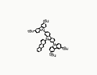 CC(C)(C)c1ccc2c(c1)c1cc(C(C)(C)C)ccc1n2-c1ccc2c3ccc(-n4c5ccc(C(C)(C)C)cc5c5cc(C(C)(C)C)ccc54)cc3n(-c3ccc4cc5ccccc5cc4c3)c2c1